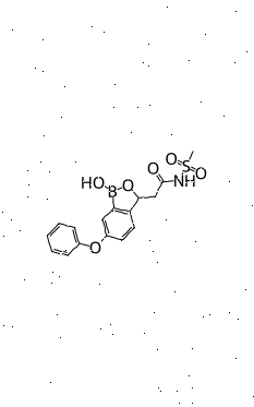 CS(=O)(=O)NC(=O)CC1OB(O)c2cc(Oc3ccccc3)ccc21